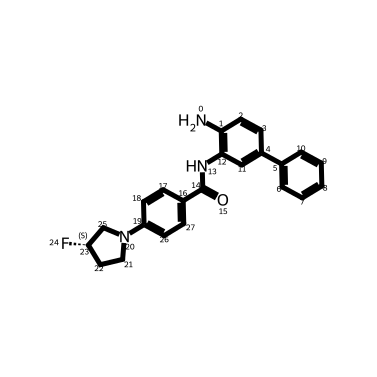 Nc1ccc(-c2ccccc2)cc1NC(=O)c1ccc(N2CC[C@H](F)C2)cc1